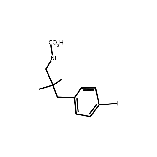 CC(C)(CNC(=O)O)Cc1ccc(I)cc1